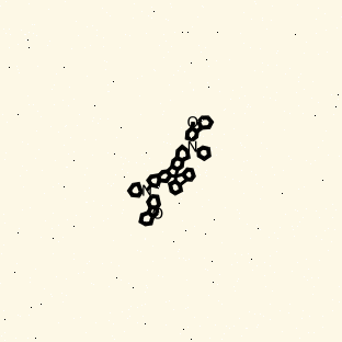 c1ccc(N(c2ccc3cc4c(cc3c2)C2(c3ccccc3-c3ccccc32)c2cc3cc(N(c5ccccc5)c5ccc6oc7ccccc7c6c5)ccc3cc2-4)c2ccc3oc4ccccc4c3c2)cc1